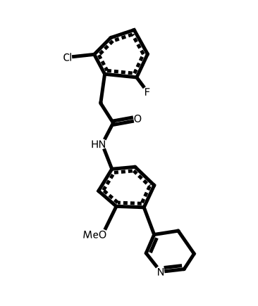 COc1cc(NC(=O)Cc2c(F)cccc2Cl)ccc1C1=CN=CCC1